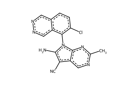 Cc1ncc2c(C#N)c(N)n(-c3c(Cl)ccc4cnncc34)c2n1